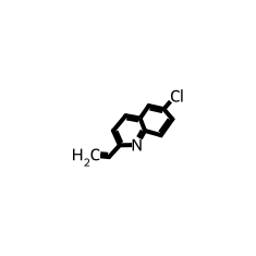 C=Cc1ccc2cc(Cl)ccc2n1